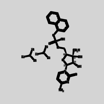 CCN(CC)CC.CCN(CC)CC.Nc1ccn([C@@H]2O[C@H](COP(=O)(O)Oc3cccc4ccccc34)[C@](O)(C(=O)O)[C@H]2O)c(=O)n1